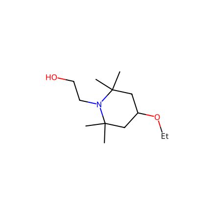 CCOC1CC(C)(C)N(CCO)C(C)(C)C1